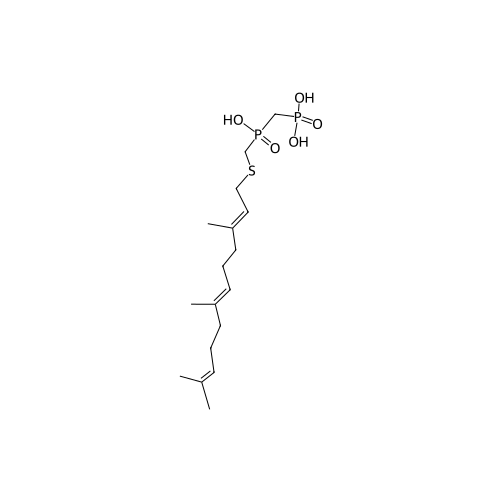 CC(C)=CCC/C(C)=C/CC/C(C)=C/CSCP(=O)(O)CP(=O)(O)O